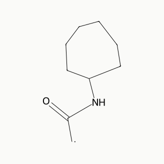 [CH2]C(=O)NC1CCCCCC1